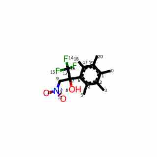 Cc1c(C)c(C)c(C(O)(C[N+](=O)[O-])C(F)(F)F)c(C)c1C